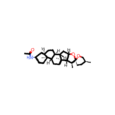 CC(=O)N[C@H]1CC[C@@]2(C)[C@H](CC[C@@H]3[C@@H]2CC[C@]2(C)[C@@H]4[C@H](C[C@@H]32)O[C@]2(CC[C@H](C)CO2)[C@H]4C)C1